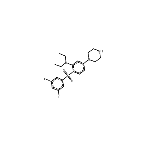 CCN(CC)c1cc(N2CCNCC2)ccc1S(=O)(=O)c1cc(F)cc(F)c1